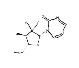 CC[C@H]1O[C@@H](n2cccnc2=O)C(F)(F)[C@@H]1C